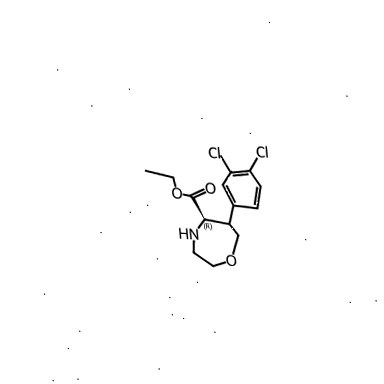 CCOC(=O)[C@@H]1NCCOCC1c1ccc(Cl)c(Cl)c1